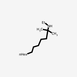 [CH2]CNC(C)(C)CCCCCCCCCCC